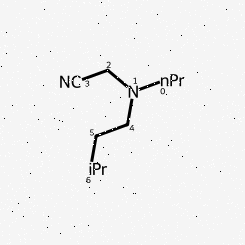 CCCN(CC#N)CCC(C)C